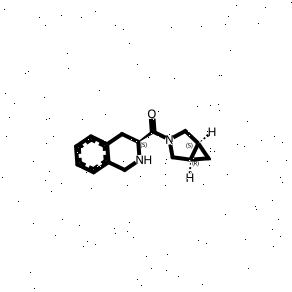 O=C([C@@H]1Cc2ccccc2CN1)N1C[C@H]2C[C@H]2C1